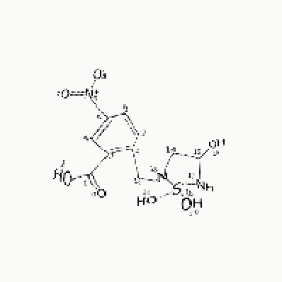 O=C(O)c1cc([N+](=O)[O-])ccc1CN1CC(O)NS1(O)O